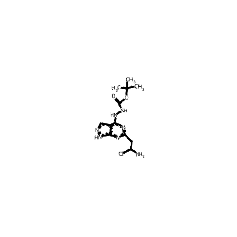 CC(C)(C)OC(=O)NNc1nc(CC(N)Cl)nc2[nH]ncc12